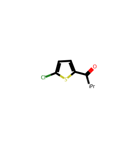 CC(C)C(=O)c1ccc(Cl)s1